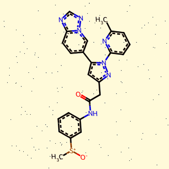 Cc1cccc(-n2nc(CC(=O)Nc3cccc([S+](C)[O-])c3)cc2-c2ccc3ncnn3c2)n1